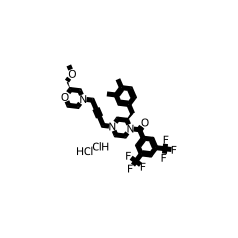 COC[C@@H]1CN(CC#CCN2CCN(C(=O)c3cc(C(F)(F)F)cc(C(F)(F)F)c3)[C@H](Cc3ccc(C)c(C)c3)C2)CCO1.Cl.Cl